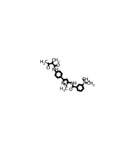 C=C(Cl)C(=C)C(=O)Nc1ccc(-c2cc(NC(=O)c3cccc(N(C)C)c3)n(C)n2)cc1